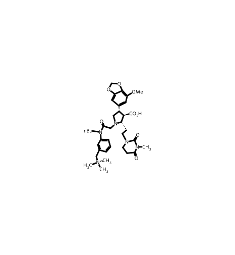 CCCCN(C(=O)CN1C[C@H](c2cc(OC)c3c(c2)OCO3)[C@@H](C(=O)O)[C@@H]1CCN1CCC(=O)N(C)C1=O)c1cccc(C[N+](C)(C)C)c1